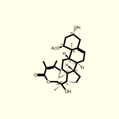 CC(=O)O[C@H]1C[C@H](O)CC2=CC[C@H]3[C@@H]4CC[C@H]([C@@](C)(O)[C@H]5CC(C)=C(C)C(=O)O5)[C@@]4(C)CC[C@@H]3[C@]21C